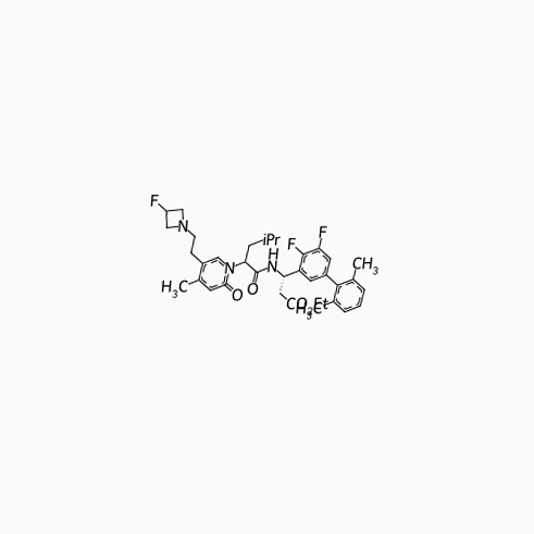 CCOC(=O)C[C@H](NC(=O)C(CC(C)C)n1cc(CCN2CC(F)C2)c(C)cc1=O)c1cc(-c2c(C)cccc2C)cc(F)c1F